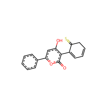 O=c1oc(-c2ccccc2)cc(O)c1C1=CC=CCC1=S